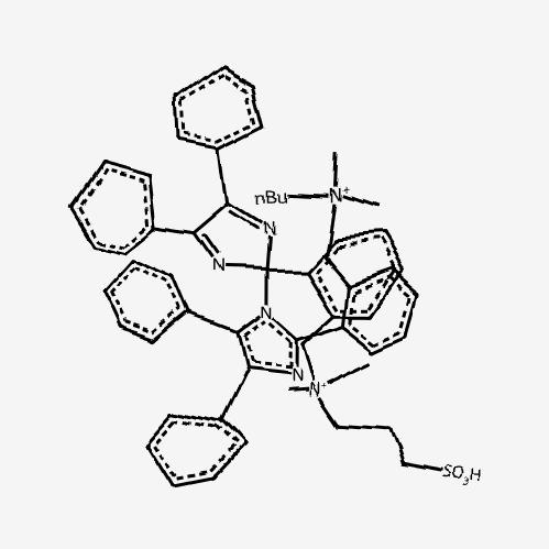 CCCC[N+](C)(C)Cc1ccccc1-c1nc(-c2ccccc2)c(-c2ccccc2)n1C1(c2ccccc2C[N+](C)(C)CCCS(=O)(=O)O)N=C(c2ccccc2)C(c2ccccc2)=N1